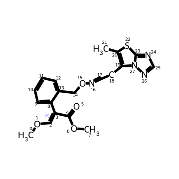 CO/C=C(/C(=O)OC)c1ccccc1CON=CCc1c(C)sc2ncnn12